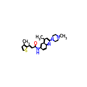 Cc1ccsc1C=CC(=O)Nc1ccc2nc(N3CCN(C)CC3)cc(C)c2c1